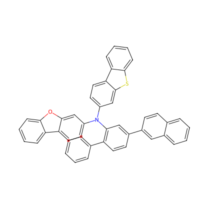 c1ccc(-c2ccc(-c3ccc4ccccc4c3)cc2N(c2ccc3c(c2)oc2ccccc23)c2ccc3c(c2)sc2ccccc23)cc1